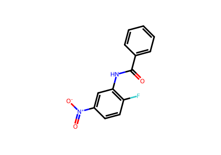 O=C(Nc1cc([N+](=O)[O-])ccc1F)c1ccccc1